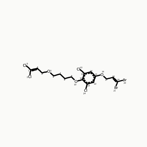 ClC(Cl)=CCOCCCCOc1c(Cl)cc(OCC=C(Br)Br)cc1Cl